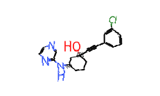 O[C@]1(C#Cc2cccc(Cl)c2)CCC[C@@H](Nc2cnccn2)C1